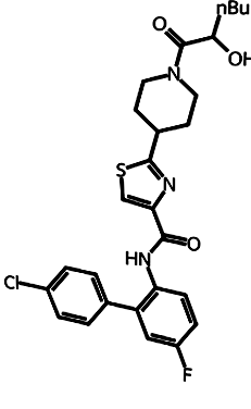 CCCCC(O)C(=O)N1CCC(c2nc(C(=O)Nc3ccc(F)cc3-c3ccc(Cl)cc3)cs2)CC1